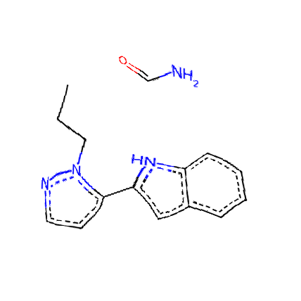 CCCn1nccc1-c1cc2ccccc2[nH]1.NC=O